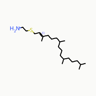 C/C(=C\CSCCN)CCCC(C)CCCC(C)CCCC(C)C